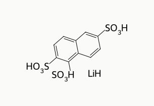 O=S(=O)(O)c1ccc2c(S(=O)(=O)O)c(S(=O)(=O)O)ccc2c1.[LiH]